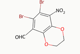 O=Cc1c(Br)c(Br)c([N+](=O)[O-])c2c1OCCO2